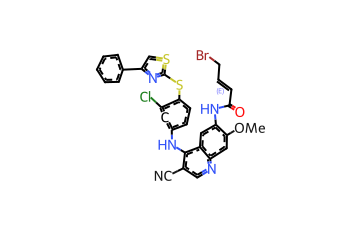 COc1cc2ncc(C#N)c(Nc3ccc(Sc4nc(-c5ccccc5)cs4)c(Cl)c3)c2cc1NC(=O)/C=C/CBr